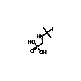 CC(C)(I)NCP(=O)(O)O